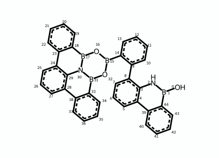 OB1Nc2c(cccc2-c2ccccc2B2OB3c4ccccc4-c4cccc5c4N3B(O2)c2ccccc2-5)-c2ccccc21